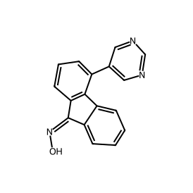 O/N=C1\c2ccccc2-c2c1cccc2-c1cncnc1